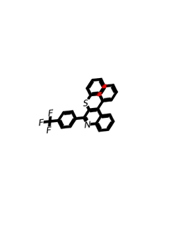 FC(F)(F)c1ccc(-c2nc3ccccc3c(-c3ccccc3)c2Sc2ccccc2)cc1